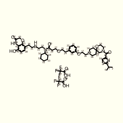 CC(C)c1nc(C(=O)N2CCOC3(CCN(CCOc4cccc(CCOCCC(=O)N(CCNCCc5ccc(O)c6c5OCC(=O)N6)C5CCCCC5)c4)CC3)C2)cs1.O=C(O)C(F)(F)F.O=C(O)C(F)(F)F